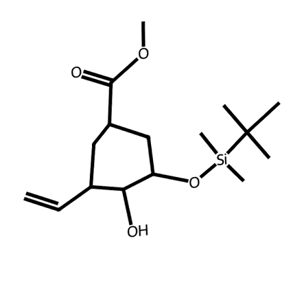 C=CC1CC(C(=O)OC)CC(O[Si](C)(C)C(C)(C)C)C1O